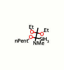 CCCCCOC([SiH3])(NC)C(C)(OCC)OCC